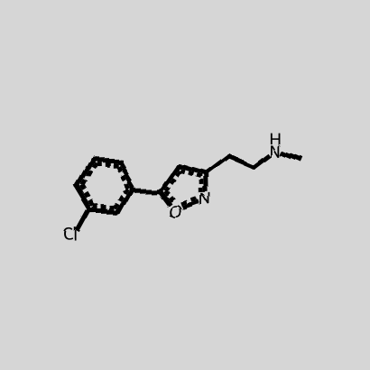 CNCCc1cc(-c2cccc(Cl)c2)on1